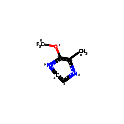 Cc1nccnc1OC(F)(F)F